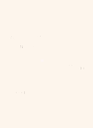 CCOc1ccccc1/C=C1\C(=O)N(C(C)=O)c2ccc(C(=O)O)cc21